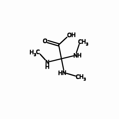 CNC(NC)(NC)C(=O)O